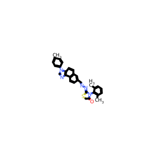 Cc1ccc(-n2cnc3c4ccc(/C=N/N=C5\SCC(=O)N5c5c(C)cccc5C)cc4ccc32)cc1